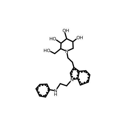 OCC1C(O)C(O)C(O)CN1CCc1cn(CCNc2ccccc2)c2ccccc12